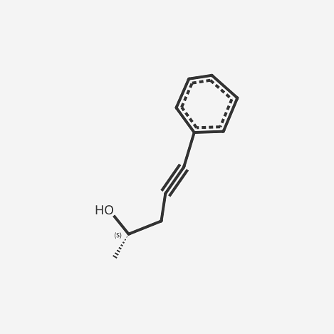 C[C@H](O)CC#Cc1ccccc1